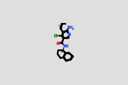 C/C=C\c1c(N)ncc(C(=O)N[C@H]2CCCc3ccccc32)c1Cl